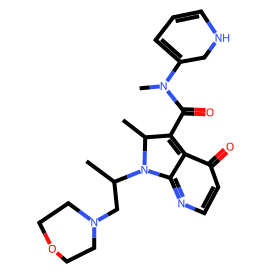 CC(CN1CCOCC1)N1C2=NC=CC(=O)C2=C(C(=O)N(C)C2=CC=CNC2)C1C